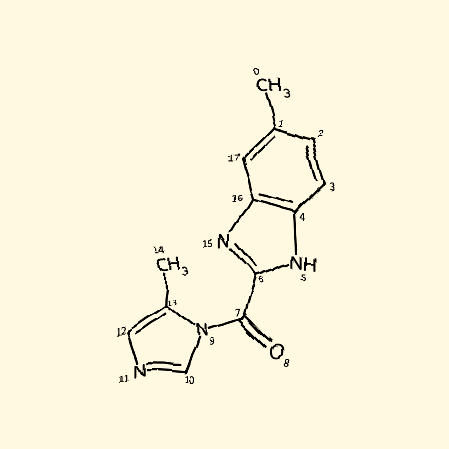 Cc1ccc2[nH]c(C(=O)n3cncc3C)nc2c1